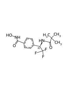 CC(C)(C)C(=O)N[C@H](c1ccc(C(=O)NO)cc1)C(F)(F)F